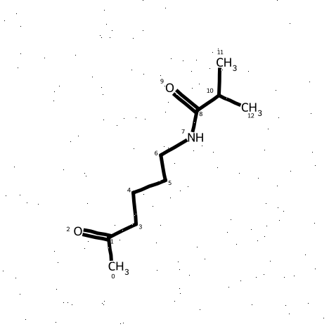 CC(=O)CCCCNC(=O)C(C)C